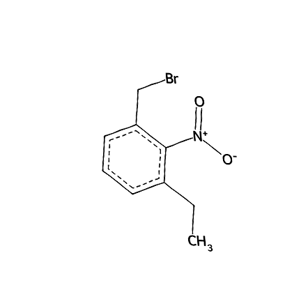 CCc1cccc(CBr)c1[N+](=O)[O-]